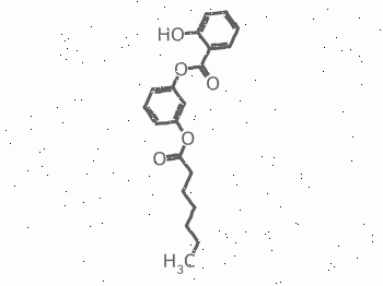 CCCCCCC(=O)Oc1cccc(OC(=O)c2ccccc2O)c1